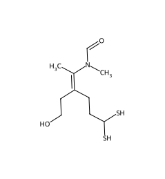 CC(=C(CCO)CCC(S)S)N(C)C=O